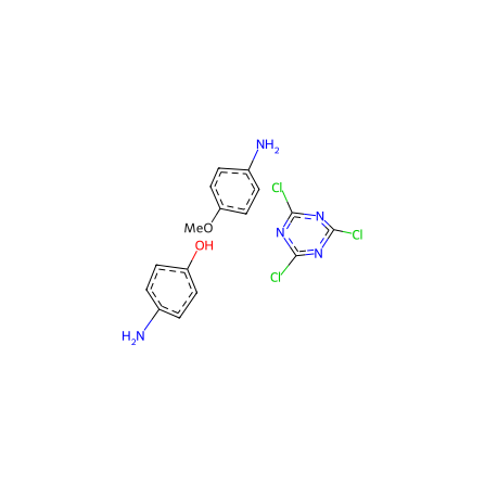 COc1ccc(N)cc1.Clc1nc(Cl)nc(Cl)n1.Nc1ccc(O)cc1